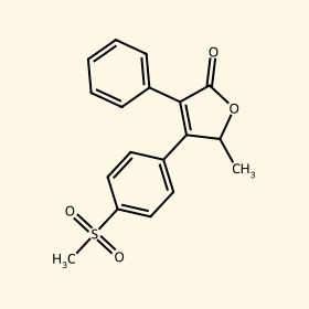 CC1OC(=O)C(c2ccccc2)=C1c1ccc(S(C)(=O)=O)cc1